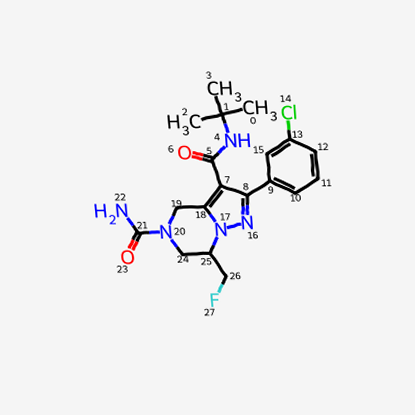 CC(C)(C)NC(=O)c1c(-c2cccc(Cl)c2)nn2c1CN(C(N)=O)CC2CF